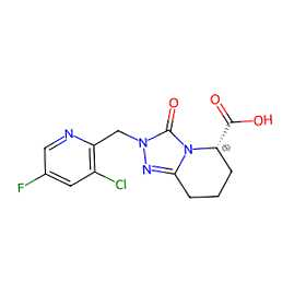 O=C(O)[C@@H]1CCCc2nn(Cc3ncc(F)cc3Cl)c(=O)n21